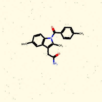 COc1ccc2c(c1)c(CC(N)=O)c(C)n2C(=O)c1ccc(C)cc1